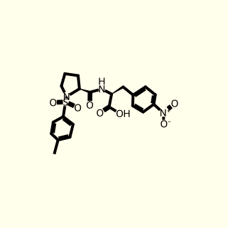 Cc1ccc(S(=O)(=O)N2CCC[C@H]2C(=O)N[C@@H](Cc2ccc([N+](=O)[O-])cc2)C(=O)O)cc1